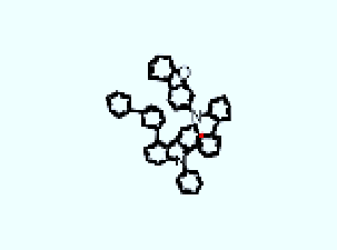 c1ccc(-c2cccc(-c3cccc4c3c3cc(N(c5ccc6c(c5)oc5ccccc56)c5ccccc5-c5ccccc5)ccc3n4-c3ccccc3)c2)cc1